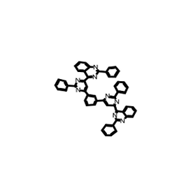 c1ccc(-c2nc(-c3cccc(-c4cc(-c5nc(-c6ccccc6)nc6ccccc56)nc(-c5ccccc5)n4)c3)cc(-c3nc(-c4ccccc4)nc4ccccc34)n2)cc1